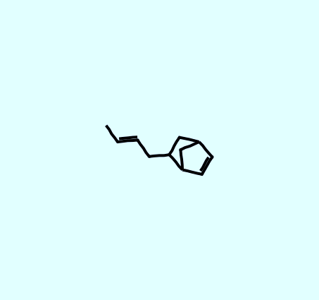 C/C=C/CC1CC2C=CC1C2